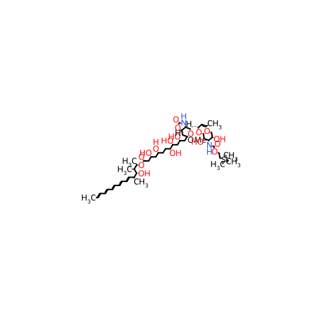 C/C=C/C=C/C=C/C=C/C=C/[C@H](C)[C@@H](O)[C@@H](C)[C@H](C)OC(=O)C[C@H](O)C[C@H](O)CC[C@@H](O)[C@H](O)C[C@H](O)C[C@]1(OC)C[C@@H]2OC(=O)N[C@H]2[C@H](C[C@H](/C=C/C)O[C@@H]2OC[C@@H](O)[C@H](NC(=O)OCC[Si](C)(C)C)[C@@H]2O)O1